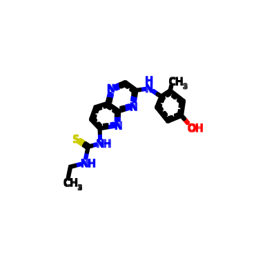 CCNC(=S)Nc1ccc2ncc(Nc3ccc(O)cc3C)nc2n1